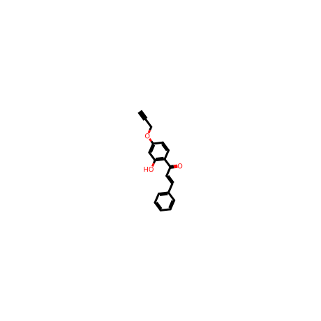 C#CCOc1ccc(C(=O)/C=C/c2ccccc2)c(O)c1